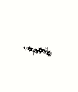 Cn1cc(Nc2ncc(-c3ccc(CC(=O)Nc4cccnc4)cc3)cn2)cn1